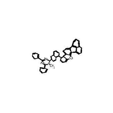 CN1C(c2ccccc2)=NC(c2ccccc2)=NC1c1ccc2c(-c3cccc4oc5c6c(ccc5c34)-c3cccc4cccc-6c34)cccc2c1